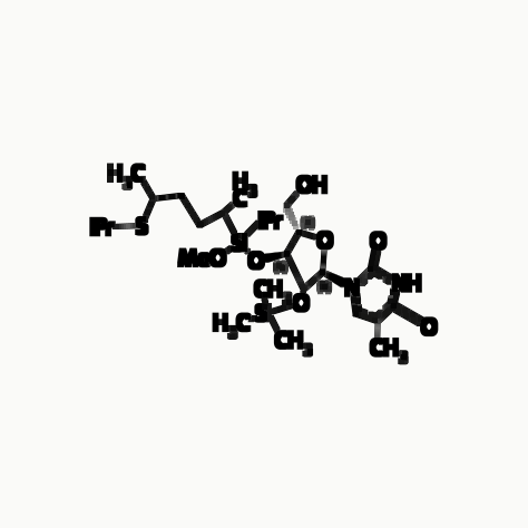 CO[Si](O[C@@H]1C(O[Si](C)(C)C)[C@H](n2cc(C)c(=O)[nH]c2=O)O[C@H]1CO)(C(C)C)C(C)CCC(C)SC(C)C